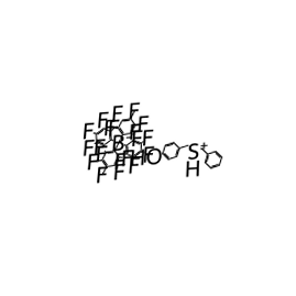 Fc1c(F)c(F)c([B-](c2c(F)c(F)c(F)c(F)c2F)(c2c(F)c(F)c(F)c(F)c2F)c2c(F)c(F)c(F)c(F)c2F)c(F)c1F.Oc1ccc(C[SH+]Cc2ccccc2)cc1